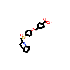 O=C(O)c1ccc(COc2ccc(S(=O)(=O)Cc3ccc4ccccc4n3)cc2)cc1